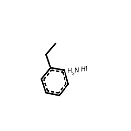 CCc1ccccc1.I.N